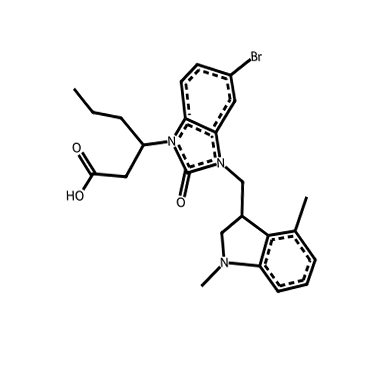 CCCC(CC(=O)O)n1c(=O)n(CC2CN(C)c3cccc(C)c32)c2cc(Br)ccc21